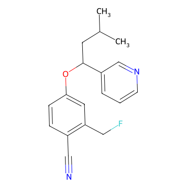 CC(C)CC(Oc1ccc(C#N)c(CF)c1)c1cccnc1